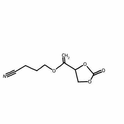 C=C(OCCCC#N)C1COC(=O)O1